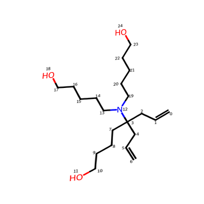 C=CCC(CC=C)(CCCCO)N(CCCCCO)CCCCCO